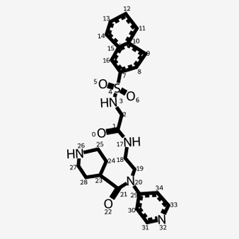 O=C(CNS(=O)(=O)c1ccc2ccccc2c1)NCCN(C(=O)C1CCNCC1)c1ccncc1